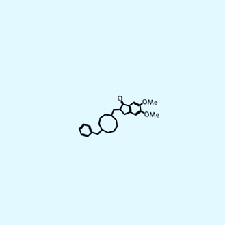 COc1cc2c(cc1OC)C(=O)C(CC1CCCCC(Cc3ccccc3)CCC1)C2